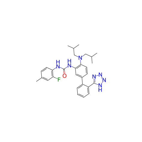 Cc1ccc(NC(=O)Nc2cc(-c3ccccc3-c3nnn[nH]3)ccc2N(CC(C)C)CC(C)C)c(F)c1